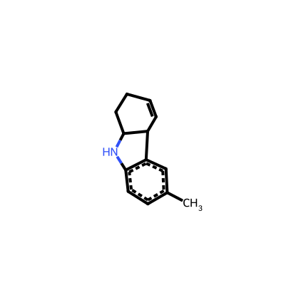 Cc1ccc2c(c1)C1C=CCCC1N2